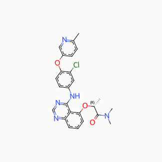 Cc1ccc(Oc2ccc(Nc3ncnc4cccc(O[C@H](C)C(=O)N(C)C)c34)cc2Cl)cn1